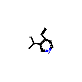 C=Cc1ccncc1C(C)C